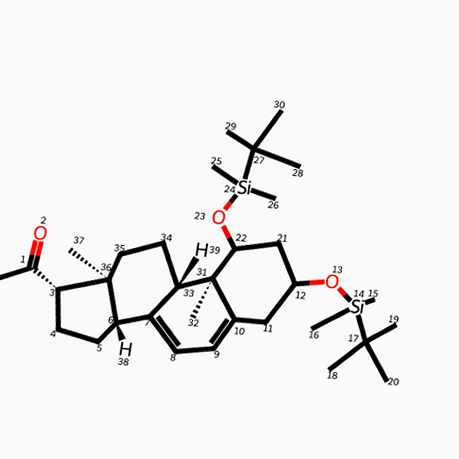 CC(=O)[C@H]1CC[C@H]2C3=CC=C4CC(O[Si](C)(C)C(C)(C)C)CC(O[Si](C)(C)C(C)(C)C)[C@]4(C)[C@H]3CC[C@]12C